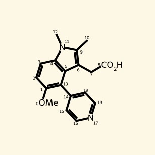 COc1ccc2c(c(CC(=O)O)c(C)n2C)c1-c1ccncc1